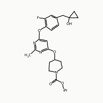 Cc1nc(Oc2ccc(CC3(O)CC3)cc2F)cc(OC2CCN(C(=O)OC(C)C)CC2)n1